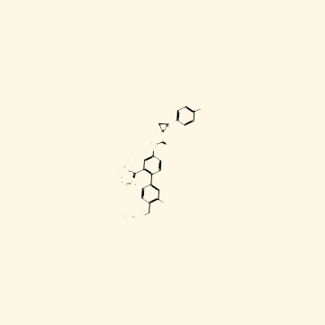 COCc1ccc(-c2ccc(NC(=O)[C@@H]3C[C@H]3c3ccc(Cl)cc3)cc2-c2nnn[nH]2)cc1C